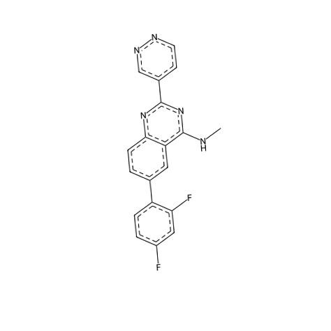 CNc1nc(-c2ccnnc2)nc2ccc(-c3ccc(F)cc3F)cc12